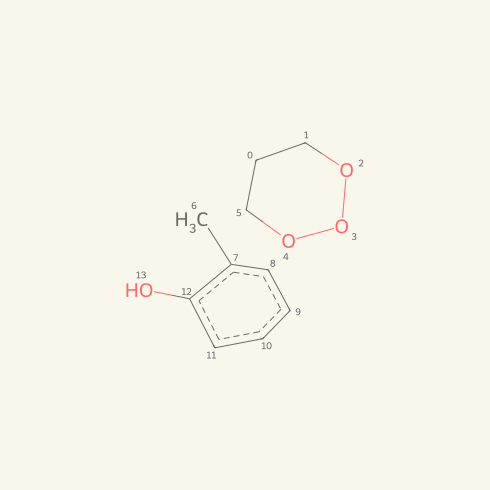 C1COOOC1.Cc1ccccc1O